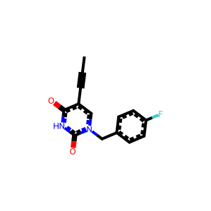 CC#Cc1cn(Cc2ccc(F)cc2)c(=O)[nH]c1=O